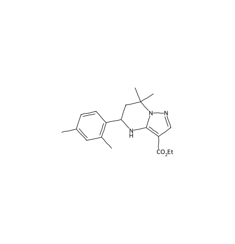 CCOC(=O)c1cnn2c1NC(c1ccc(C)cc1C)CC2(C)C